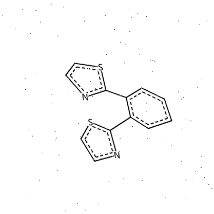 c1ccc(-c2nccs2)c(-c2nccs2)c1